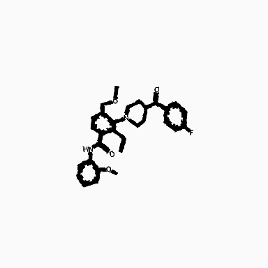 CCc1c(C(=O)Nc2ccccc2OC)ccc(COC)c1N1CCC(C(=O)c2ccc(F)cc2)CC1